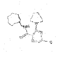 O=C(NC1CCCCC1)c1ccc(Cl)nc1N1CCCC1